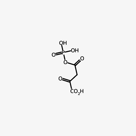 O=C(CC(=O)C(=O)O)OP(=O)(O)O